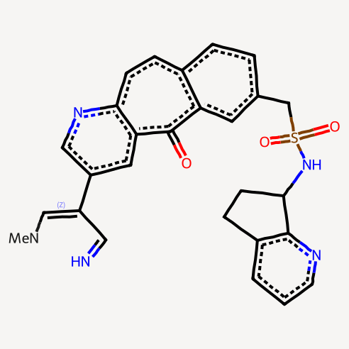 CN/C=C(\C=N)c1cnc2ccc3ccc(CS(=O)(=O)NC4CCc5cccnc54)cc3c(=O)c2c1